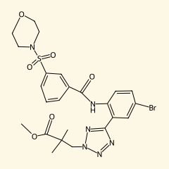 COC(=O)C(C)(C)Cn1nnc(-c2cc(Br)ccc2NC(=O)c2cccc(S(=O)(=O)N3CCOCC3)c2)n1